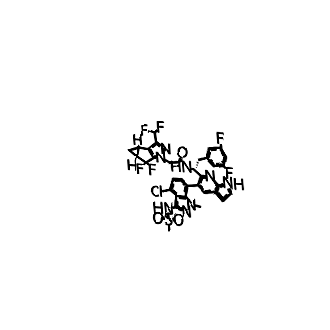 Cn1nc(NS(C)(=O)=O)c2c(Cl)ccc(-c3cc4cc[nH]c4nc3[C@@H](Cc3cc(F)cc(F)c3)NC(=O)Cn3nc(C(F)F)c4c3C(F)(F)[C@@H]3C[C@H]43)c21